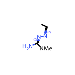 C/C=N\N=C(\N)NC